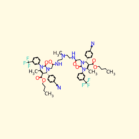 CCCCOC(=O)C1=C(C)N(c2cccc(C(F)(F)F)c2)C(=O)N(CC(=O)NCCN(C)CCNC(=O)CN2C(=O)N(c3cccc(C(F)(F)F)c3)C(C)=C(C(=O)OCCCC)[C@H]2c2ccc(C#N)cc2)[C@@H]1c1ccc(C#N)cc1